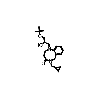 CC(C)(C)OCC(O)CN1CCC(=O)N(CC2CC2)Cc2ccccc21